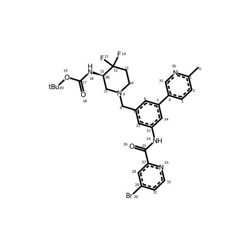 Cc1ccc(-c2cc(CN3CCC(F)(F)[C@H](NC(=O)OC(C)(C)C)C3)cc(NC(=O)c3cc(Br)ccn3)c2)cn1